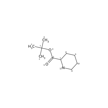 CC(C)(C)OC(=O)C1CCCC[N]1